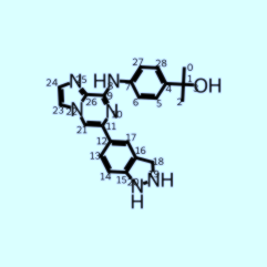 CC(C)(O)c1ccc(Nc2nc(-c3ccc4c(c3)CNN4)cn3ccnc23)cc1